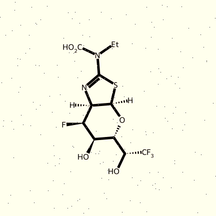 CCN(C(=O)O)C1=N[C@@H]2[C@H](F)[C@H](O)[C@@H]([C@@H](O)C(F)(F)F)O[C@@H]2S1